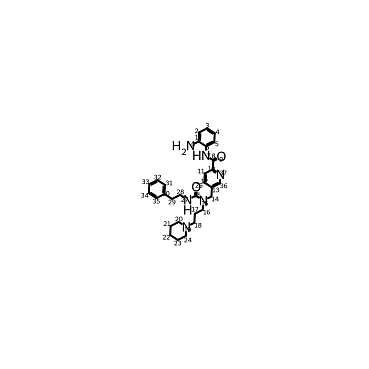 Nc1ccccc1NC(=O)c1ccc(CN(CCCN2CCCCC2)C(=O)NCCc2ccccc2)cn1